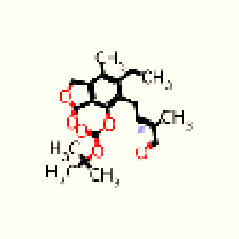 CCc1c(C)c2c(c(OC(=O)OC(C)(C)C)c1C/C=C(\C)C=O)C(=O)OC2